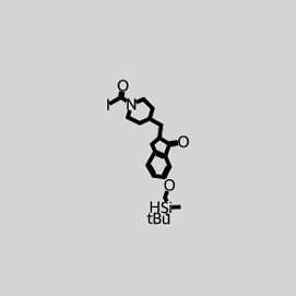 C[SiH](COc1ccc2c(c1)C(=O)C(CC1CCN(C(=O)I)CC1)C2)C(C)(C)C